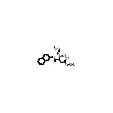 CC=NN(C)C(CC(=O)OC)C(=O)Oc1ccc2ccccc2c1